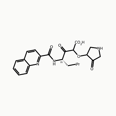 CC(C)C[C@H](NC(=O)c1ccc2ccccc2n1)C(=O)C(OC1CNCC1=O)C(=O)O